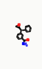 NC(=O)c1cccc(C(c2ccccc2)C2CO2)c1